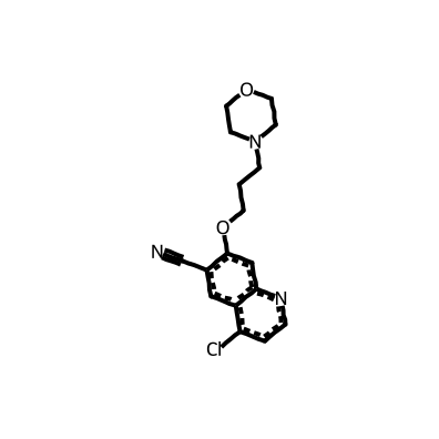 N#Cc1cc2c(Cl)ccnc2cc1OCCCN1CCOCC1